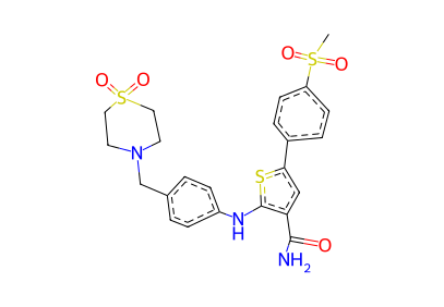 CS(=O)(=O)c1ccc(-c2cc(C(N)=O)c(Nc3ccc(CN4CCS(=O)(=O)CC4)cc3)s2)cc1